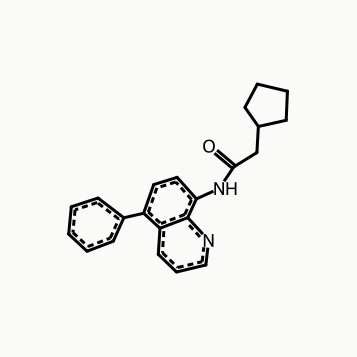 O=C(CC1CCCC1)Nc1ccc(-c2ccccc2)c2cccnc12